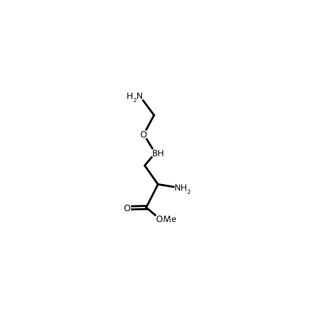 COC(=O)C(N)CBOCN